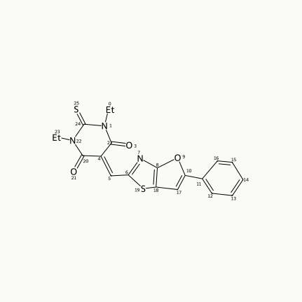 CCN1C(=O)C(=Cc2nc3oc(-c4ccccc4)cc3s2)C(=O)N(CC)C1=S